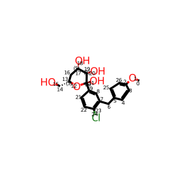 COc1ccc(Cc2cc([C@]3(O)O[C@H](CO)C[C@H](O)[C@H]3O)ccc2Cl)cc1